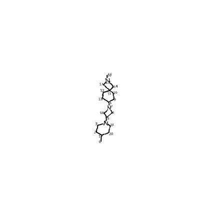 CC1CCN(C2CN(C3CCC4(CC3)CN(C)C4)C2)CC1